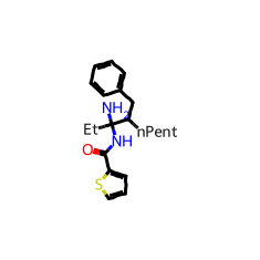 CCCCCC(Cc1ccccc1)C(N)(CC)NC(=O)c1cccs1